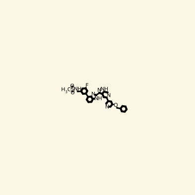 CS(=O)(=O)NCc1cc(F)cc(-c2cccc3[nH]c(-c4n[nH]c5cnc(-c6cncc(OCc7ccccc7)c6)cc45)nc23)c1